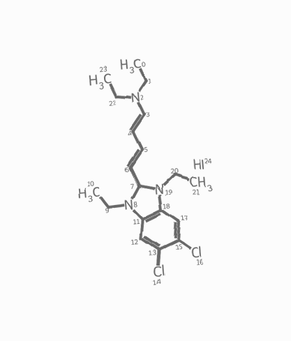 CCN(C=CC=CC1N(CC)c2cc(Cl)c(Cl)cc2N1CC)CC.I